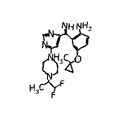 CC(C(F)F)N1CCN(c2cc(C(=N)c3cc(OC4(C)CC4)ccc3N)ncn2)CC1